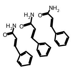 NC(=O)/C=C/c1ccccc1.NC(=O)/C=C/c1ccccc1.NC(=O)/C=C/c1ccccc1